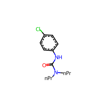 CCCN(CCC)C(=O)Nc1ccc(Cl)cc1